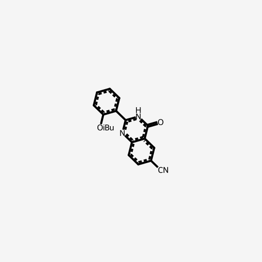 CC(C)COc1ccccc1-c1nc2ccc(C#N)cc2c(=O)[nH]1